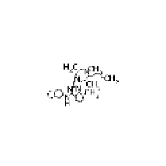 C=C/C=C\C=C1\C(C)CN(Cc2nc(Nc3ccc4c(c3)CCC4)c3cccc(C)c3n2)CC(C)CN1C